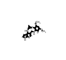 COc1cc(OC)c(F)c(NCc2cnc3[nH]ccc3c2NC2CC2)c1F